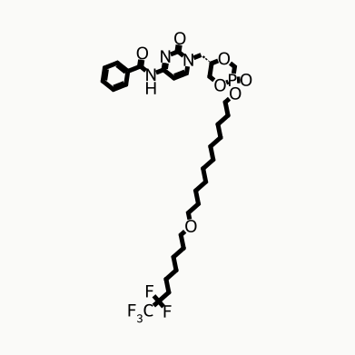 O=C(Nc1ccn(C[C@H]2COP(=O)(OCCCCCCCCCCCOCCCCCCC(F)(F)C(F)(F)F)CO2)c(=O)n1)c1ccccc1